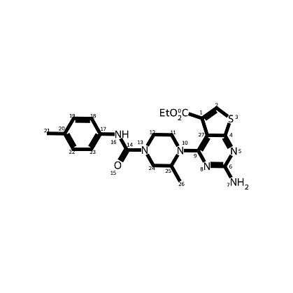 CCOC(=O)c1csc2nc(N)nc(N3CCN(C(=O)Nc4ccc(C)cc4)CC3C)c12